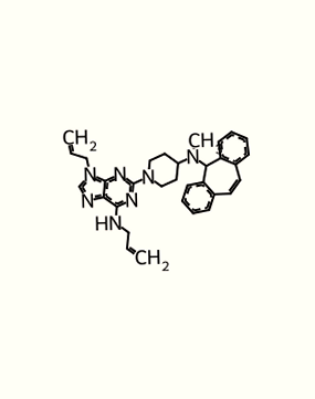 C=CCNc1nc(N2CCC(N(C)C3c4ccccc4C=Cc4ccccc43)CC2)nc2c1ncn2CC=C